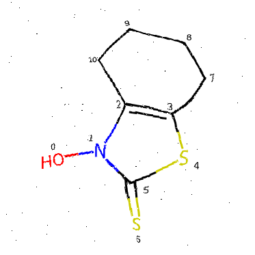 On1c2c(sc1=S)CCCC2